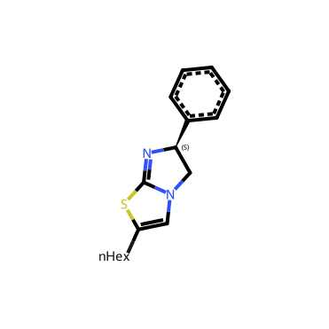 CCCCCCC1=CN2C[C@H](c3ccccc3)N=C2S1